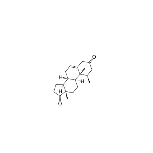 C[C@@H]1CC(=O)CC2=CC[C@@H]3[C@H](CC[C@]4(C)C(=O)CC[C@@H]34)[C@]21C